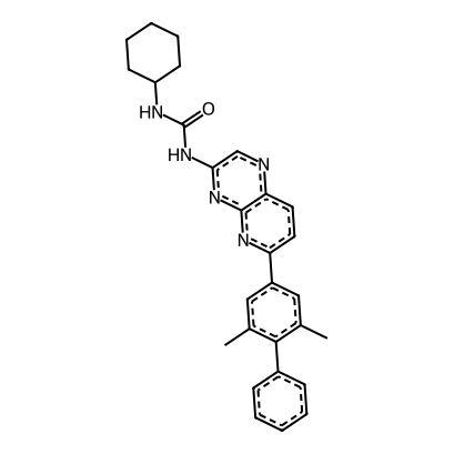 Cc1cc(-c2ccc3ncc(NC(=O)NC4CCCCC4)nc3n2)cc(C)c1-c1ccccc1